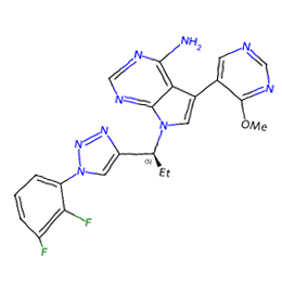 CC[C@@H](c1cn(-c2cccc(F)c2F)nn1)n1cc(-c2cncnc2OC)c2c(N)ncnc21